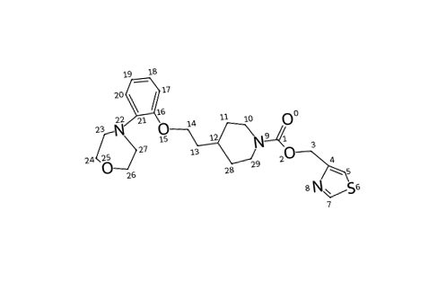 O=C(OCc1cscn1)N1CCC(CCOc2ccccc2N2CCOCC2)CC1